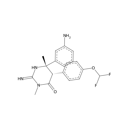 CN1C(=N)N[C@](C)(c2cccc(N)c2)[C@H](c2ccc(OC(F)F)cc2)C1=O